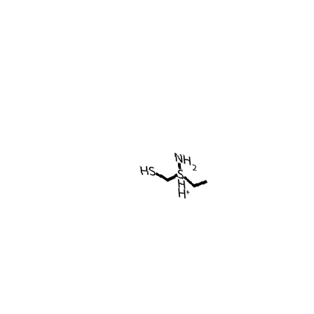 CC[SH](N)CS.[H+]